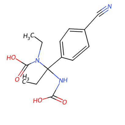 CCN(C(=O)O)C(CC)(NC(=O)O)c1ccc(C#N)cc1